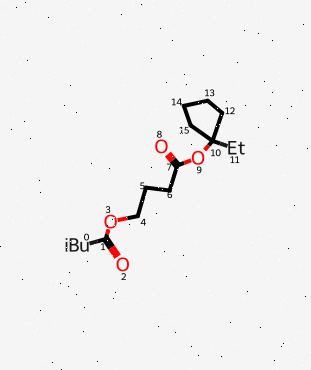 CCC(C)C(=O)OCCCC(=O)OC1(CC)CCCC1